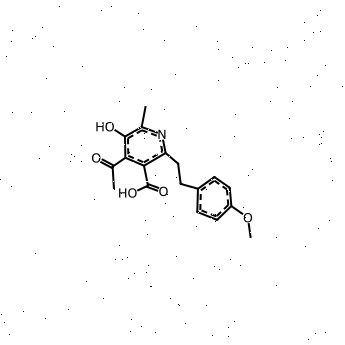 COc1ccc(CCc2nc(C)c(O)c(C(C)=O)c2C(=O)O)cc1